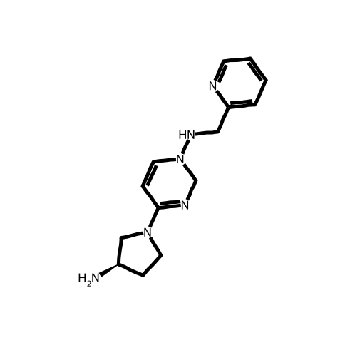 N[C@@H]1CCN(C2=NCN(NCc3ccccn3)C=C2)C1